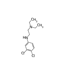 CCN(CC)CCNc1ccc(Cl)c(Cl)c1